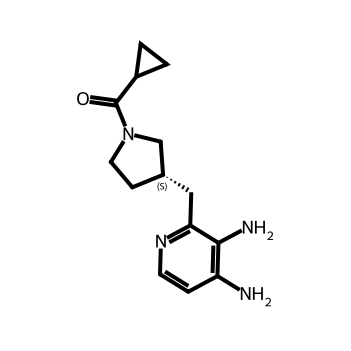 Nc1ccnc(C[C@@H]2CCN(C(=O)C3CC3)C2)c1N